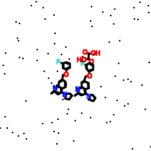 Cc1cc(N2CCCC2)c2ccc(COc3cccc(F)c3)cc2n1.Cc1cc(N2CCCC2)c2ccc(COc3cccc(F)c3)cc2n1.O=C(O)C(=O)O